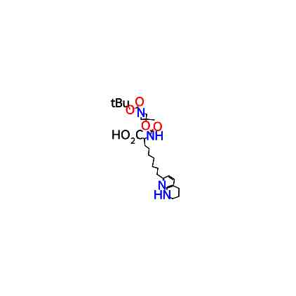 CC(C)(C)OC(=O)N1CC(C)(OC(=O)NC(CCCCCCCc2ccc3c(n2)NCCC3)C(=O)O)C1